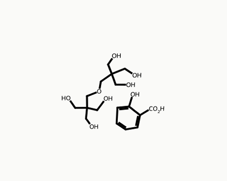 O=C(O)c1ccccc1O.OCC(CO)(CO)COCC(CO)(CO)CO